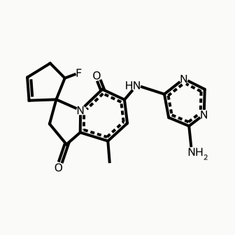 Cc1cc(Nc2cc(N)ncn2)c(=O)n2c1C(=O)CC21C=CCC1F